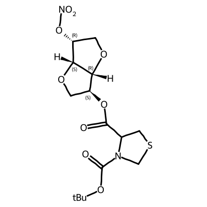 CC(C)(C)OC(=O)N1CSCC1C(=O)O[C@H]1CO[C@H]2[C@@H]1OC[C@H]2O[N+](=O)[O-]